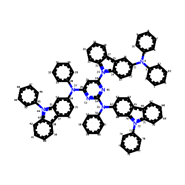 c1ccc(N(c2ccccc2)c2ccc3c(c2)c2ccccc2n3-c2cc(N(c3ccccc3)c3ccc4c5ccccc5n(-c5ccccc5)c4c3)nc(N(c3ccccc3)c3ccc4c5ccccc5n(-c5ccccc5)c4c3)n2)cc1